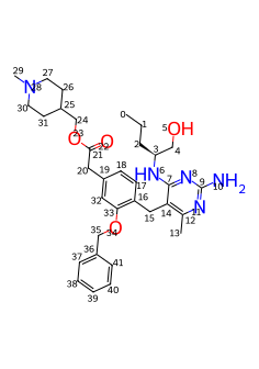 CCC[C@@H](CO)Nc1nc(N)nc(C)c1Cc1ccc(CC(=O)OCC2CCN(C)CC2)cc1OCc1ccccc1